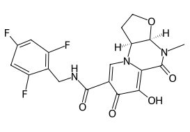 CN1C(=O)c2c(O)c(=O)c(C(=O)NCc3c(F)cc(F)cc3F)cn2[C@H]2CCO[C@H]21